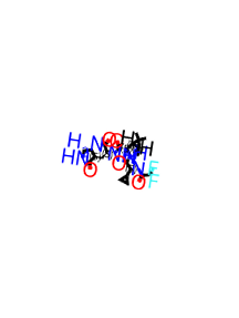 CC1(C)[C@@H]2[C@@H](C(=O)N[C@@H](C[C@@H]3CCNC3=O)C(N)=O)N(C(=O)[C@@H](NC(=O)C(F)F)C3CC3)C[C@@H]21